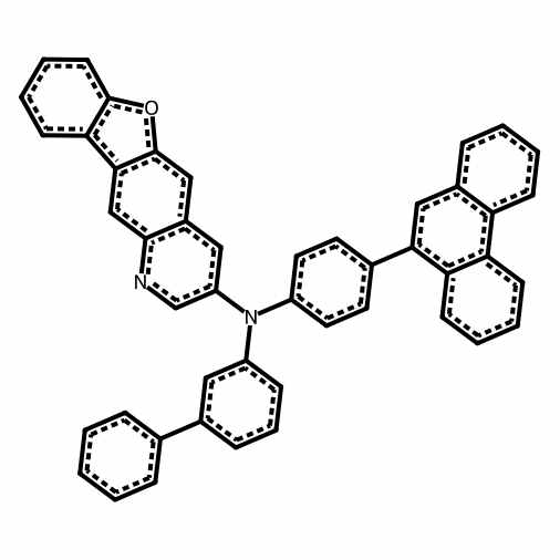 c1ccc(-c2cccc(N(c3ccc(-c4cc5ccccc5c5ccccc45)cc3)c3cnc4cc5c(cc4c3)oc3ccccc35)c2)cc1